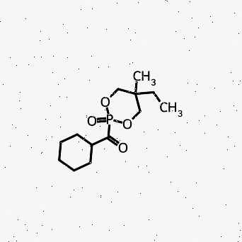 CCC1(C)COP(=O)(C(=O)C2CCCCC2)OC1